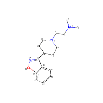 CN(C)CCN1CCC(c2noc3ccccc23)CC1